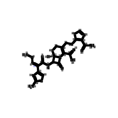 CO/N=C(\C(=O)NC1C(=O)N2C(C(=O)O)=C(CSc3scnc3C(N)=O)CS[C@H]12)c1csc(N)n1